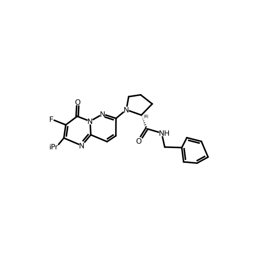 CC(C)c1nc2ccc(N3CCC[C@@H]3C(=O)NCc3ccccc3)nn2c(=O)c1F